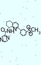 CS(=O)(=O)c1cccc(-c2ccc3c(n2)C(NC(=O)c2cnccn2)CCC3)c1